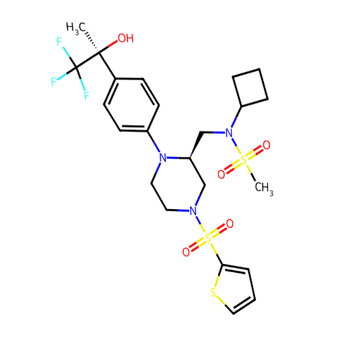 C[C@](O)(c1ccc(N2CCN(S(=O)(=O)c3cccs3)C[C@@H]2CN(C2CCC2)S(C)(=O)=O)cc1)C(F)(F)F